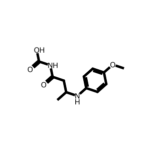 COc1ccc(NC(C)CC(=O)NC(=O)O)cc1